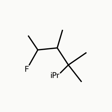 CC(F)C(C)C(C)(C)C(C)C